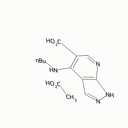 CC(=O)O.CCCCNc1c(C(=O)O)cnc2[nH]ncc12